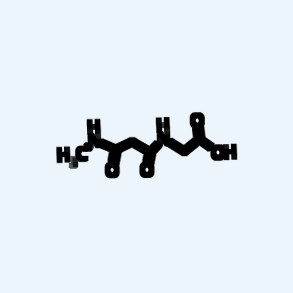 CNC(=O)CC(=O)NCC(=O)O